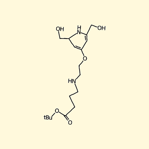 CC(C)(C)OC(=O)CCCNCCOC1=CC(CO)NC(CO)=C1